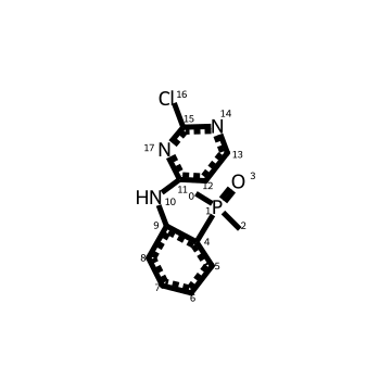 CP(C)(=O)c1ccccc1Nc1ccnc(Cl)n1